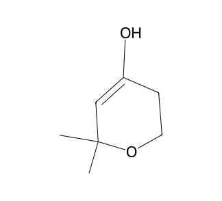 CC1(C)C=C(O)CCO1